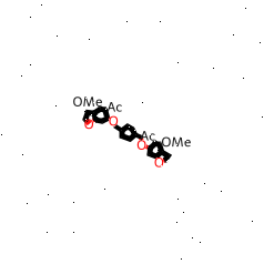 COc1c(C(C)=O)c(OCc2ccc(COc3cc4occc4c(OC)c3C(C)=O)cc2)cc2occc12